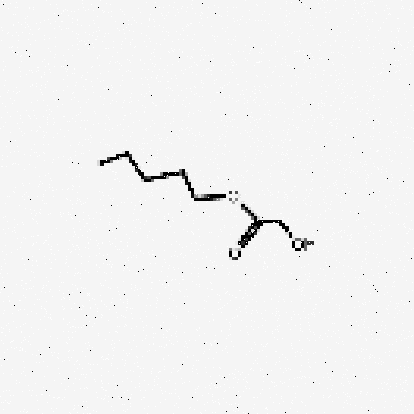 CCCCCOC(=O)CO